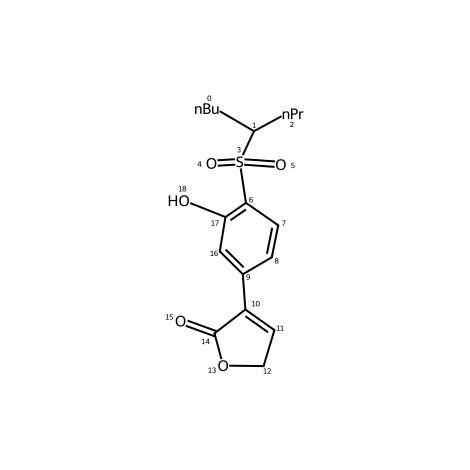 CCCCC(CCC)S(=O)(=O)c1ccc(C2=CCOC2=O)cc1O